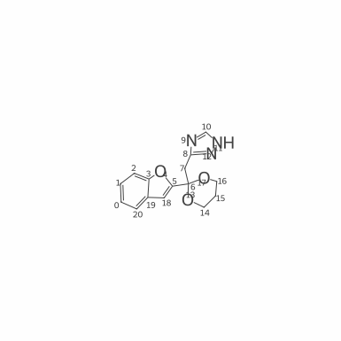 c1ccc2oc(C3(Cc4nc[nH]n4)OCCCO3)cc2c1